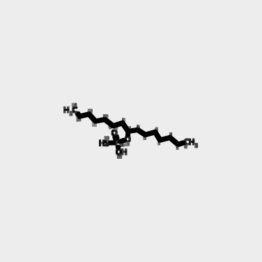 CCCCCCCC(CCCCCCC)OP(=O)(O)S